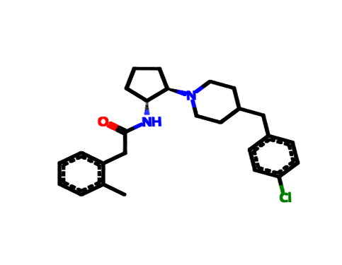 Cc1ccccc1CC(=O)N[C@@H]1CCC[C@H]1N1CCC(Cc2ccc(Cl)cc2)CC1